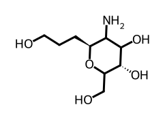 NC1C(O)[C@H](O)C(CO)O[C@H]1CCCO